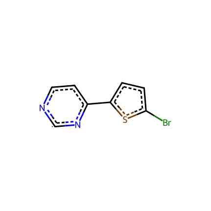 Brc1ccc(-c2ccn[c]n2)s1